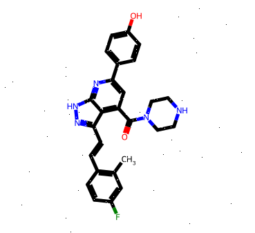 Cc1cc(F)ccc1C=Cc1n[nH]c2nc(-c3ccc(O)cc3)cc(C(=O)N3CCNCC3)c12